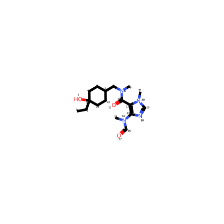 CCC1(O)CCC(CN(C)C(=O)c2c(N(C)C=O)ncn2C)CC1